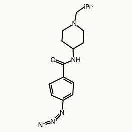 C[C](C)CN1CCC(NC(=O)c2ccc(N=[N+]=[N-])cc2)CC1